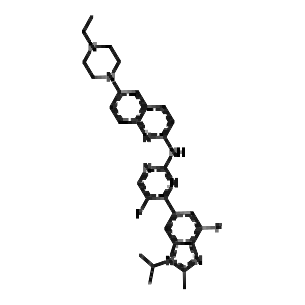 CCN1CCN(c2ccc3nc(Nc4ncc(F)c(-c5cc(F)c6nc(C)n(C(C)C)c6c5)n4)ccc3c2)CC1